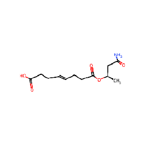 C[C@H](CC(N)=O)OC(=O)CC/C=C/CCC(=O)O